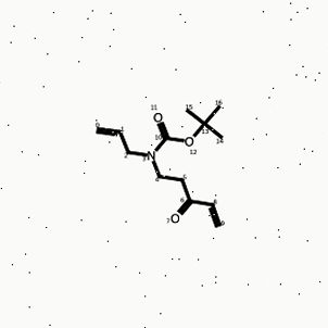 C=CCN(CCC(=O)C=C)C(=O)OC(C)(C)C